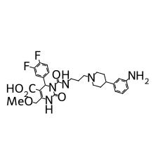 COCC1=C(C(=O)O)C(c2ccc(F)c(F)c2)N(C(=O)NCCCN2CCC(c3cccc(N)c3)CC2)C(=O)N1